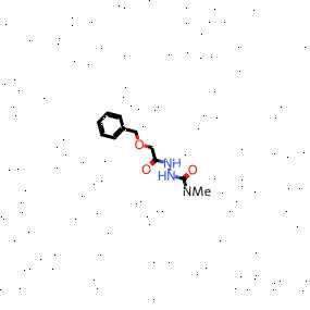 CNC(=O)NNC(=O)COCc1ccccc1